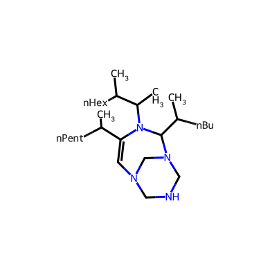 CCCCCCC(C)C(C)N1C(C(C)CCCCC)=CN2CNCN(C2)C1C(C)CCCC